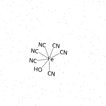 N#[C][Fe]([OH])([C]#N)([C]#N)([C]#N)([C]#N)[C]#N